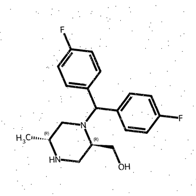 C[C@@H]1CN(C(c2ccc(F)cc2)c2ccc(F)cc2)[C@@H](CO)CN1